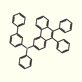 c1ccc(-c2cccc(N(c3ccccc3)c3ccc4c(-c5ccccc5)c(-c5ccccc5)c5ccccc5c4c3)c2)cc1